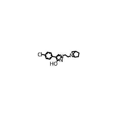 Oc1nn(CCN2CC3CCC2C3)cc1-c1ccc(Cl)cc1